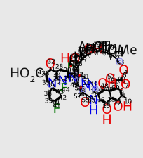 CO[C@H]1/C=C/O[C@@]2(C)Oc3c(C)c(O)c4c(O)c(c(/C=N/N5CCN(c6nc7c(cc6F)c(=O)c(C(=O)O)cn7-c6ccc(F)cc6F)CC5)c(O)c4c3C2=O)NC(=O)/C(C)=C\C=C\[C@H](C)[C@H](O)[C@@H](C)[C@@H](O)[C@@H](C)[C@H](OC(C)=O)[C@@H]1C